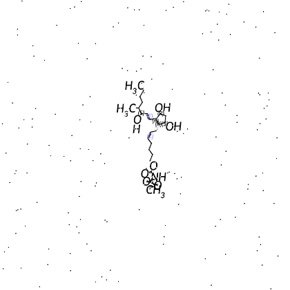 CCCCC(C)[C@H](O)/C=C/[C@@H]1[C@@H](C/C=C\CCCCOC(=O)NS(C)(=O)=O)[C@@H](O)C[C@H]1O